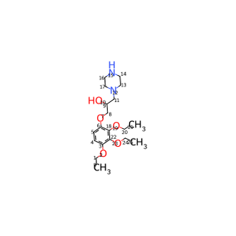 CCOc1ccc(OCC(O)CN2CCNCC2)c(OCC)c1OCC